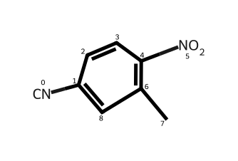 [C-]#[N+]c1ccc([N+](=O)[O-])c(C)c1